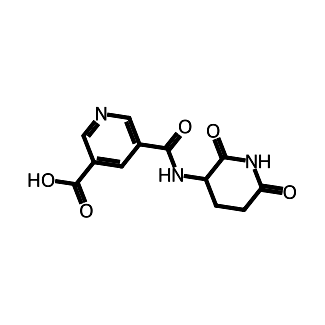 O=C1CCC(NC(=O)c2cncc(C(=O)O)c2)C(=O)N1